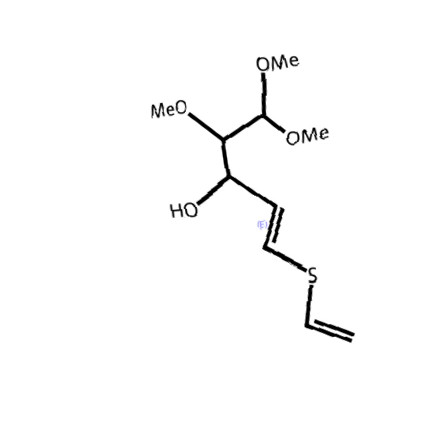 C=CS/C=C/C(O)C(OC)C(OC)OC